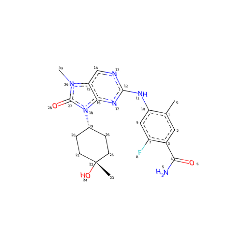 Cc1cc(C(N)=O)c(F)cc1Nc1ncc2c(n1)n([C@H]1CC[C@@](C)(O)CC1)c(=O)n2C